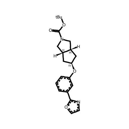 CC(C)(C)OC(=O)N1C[C@H]2C[C@H](Oc3cccc(-c4ncco4)c3)C[C@H]2C1